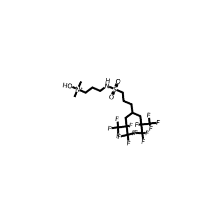 C[N+](C)(O)CCCNS(=O)(=O)CCCC(CC(F)(C(F)(F)F)C(F)(F)F)CC(F)(C(F)(F)F)C(F)(F)F